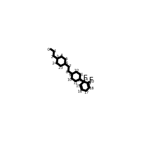 CCCC1CCC(CCC2CCC(C3(F)C=CCC=C3F)CC2)CC1